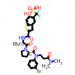 CN(C)C(=O)CCN(C(=O)[C@@H]1CCCN1C(=O)[C@@H](NC(=O)c1cc2cc(C(F)(F)P(=O)(O)O)ccc2s1)C(C)(C)C)c1cccc(Br)c1